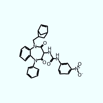 O=C(Nc1cccc([N+](=O)[O-])c1)NC1C(=O)N(CC2CC3C=CC2C3)c2ccccc2N(c2ccccc2)C1=O